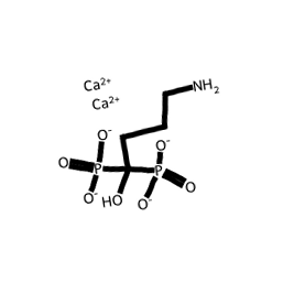 NCCCC(O)(P(=O)([O-])[O-])P(=O)([O-])[O-].[Ca+2].[Ca+2]